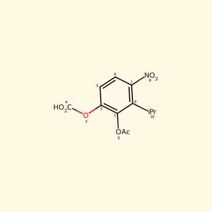 CC(=O)Oc1c(OC(=O)O)ccc([N+](=O)[O-])c1C(C)C